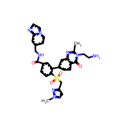 Cc1nc2cc(-c3cc(C(=O)NCc4ccn5ccnc5c4)ccc3S(=O)(=O)Cc3ccn(C)n3)ccc2c(=O)n1CCN